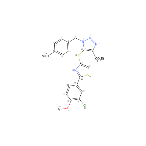 CCOC(=O)c1nnn(Cc2ccc(OC)cc2)c1Sc1csc(-c2ccc(OC(C)C)c(Cl)c2)n1